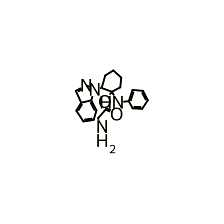 NCC(=O)OC1(Nc2ccccc2)CCCCC1n1ncc2ccccc21